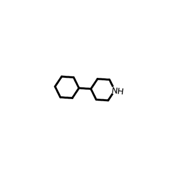 C1CCC(C2CCNCC2)CC1